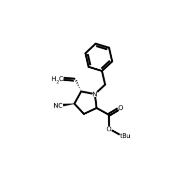 C=C[C@H]1[C@H](C#N)CC(C(=O)OC(C)(C)C)N1Cc1ccccc1